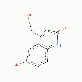 O=c1cc(CBr)c2cc(Br)ccc2[nH]1